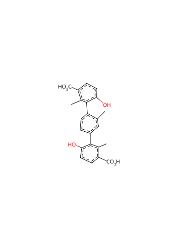 Cc1cc(-c2c(O)ccc(C(=O)O)c2C)ccc1-c1c(O)ccc(C(=O)O)c1C